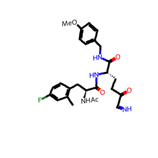 COc1ccc(CNC(=O)[C@H](CCC(=O)C=N)NC(=O)[C@H](Cc2ccc(F)cc2C)NC(C)=O)cc1